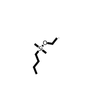 [CH2]CO[Si](C)(C)CCCC